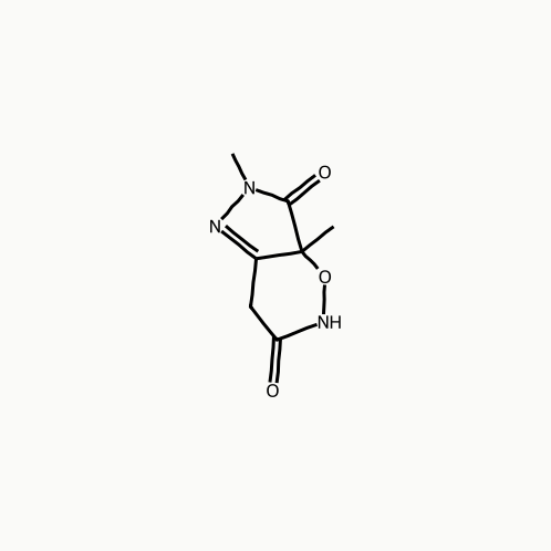 CN1N=C2CC(=O)NOC2(C)C1=O